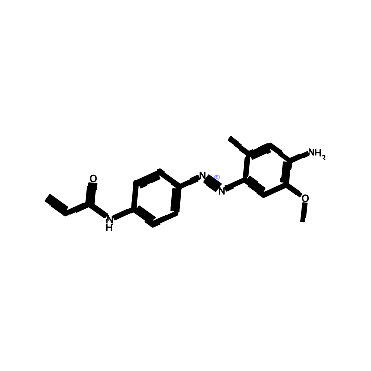 C=CC(=O)Nc1ccc(/N=N/c2cc(OC)c(N)cc2C)cc1